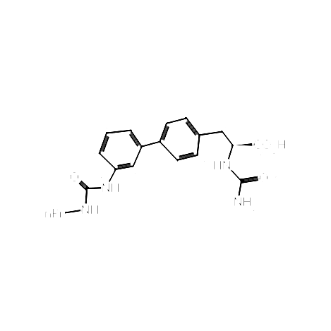 CCCNC(=O)Nc1cccc(-c2ccc(C[C@H](NC(N)=O)C(=O)O)cc2)c1